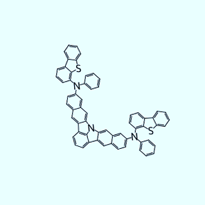 c1ccc(N(c2ccc3cc4c5cccc6c7cc8ccc(N(c9ccccc9)c9cccc%10c9sc9ccccc9%10)cc8cc7n(c4cc3c2)c56)c2cccc3c2sc2ccccc23)cc1